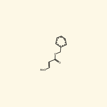 COC=CC(=O)OCc1ccccc1